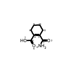 NC(=O)C1=C(C(=O)O)CCCC1